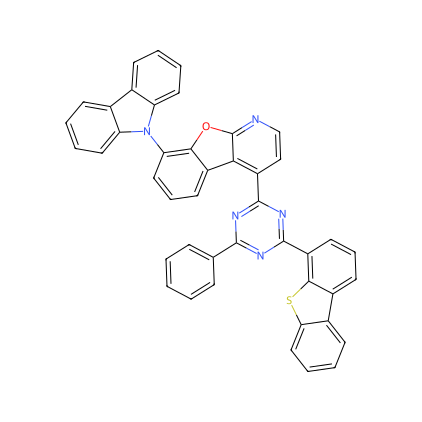 c1ccc(-c2nc(-c3cccc4c3sc3ccccc34)nc(-c3ccnc4oc5c(-n6c7ccccc7c7ccccc76)cccc5c34)n2)cc1